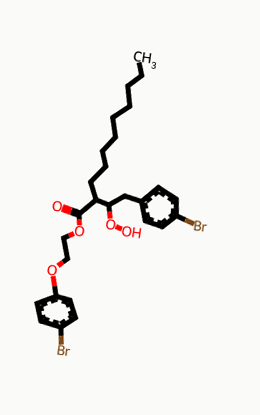 CCCCCCCCCC(C(=O)OCCOc1ccc(Br)cc1)C(Cc1ccc(Br)cc1)OO